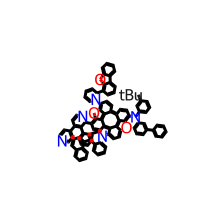 CC(C)(C)c1cccc(N(c2cccc(-c3ccccc3)c2)c2ccc3c4ccc(N5C=CC=CC5c5cccc6c5oc5ccccc56)c5oc6c(-c7nccc(-c8ccncc8)c7-c7ccccc7)ccc(c7c(N8CC=C(c9cccc%10ccccc9%10)c9ccccc98)ccc8oc2c3c87)c6c54)c1